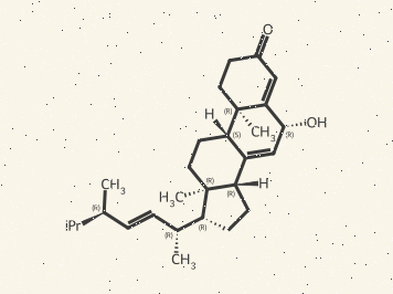 CC(C)[C@@H](C)C=C[C@@H](C)[C@H]1CC[C@H]2C3=C[C@@H](O)C4=CC(=O)CC[C@]4(C)[C@H]3CC[C@]12C